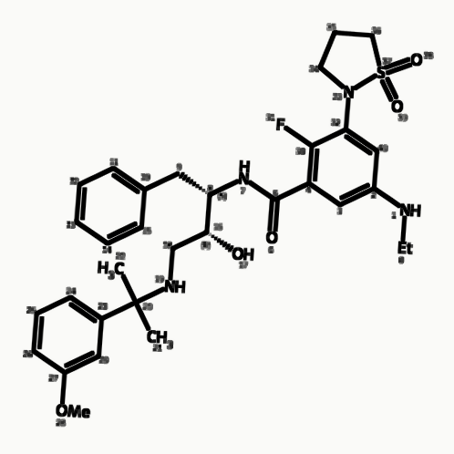 CCNc1cc(C(=O)N[C@@H](Cc2ccccc2)[C@H](O)CNC(C)(C)c2cccc(OC)c2)c(F)c(N2CCCS2(=O)=O)c1